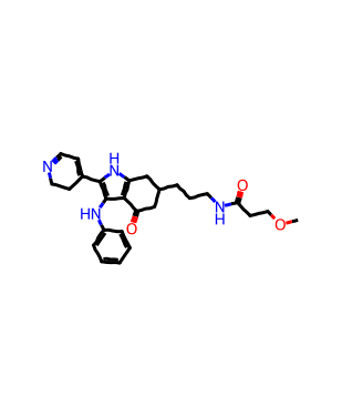 COCCC(=O)NCCCC1CC(=O)c2c([nH]c(C3=CC=NCC3)c2Nc2ccccc2)C1